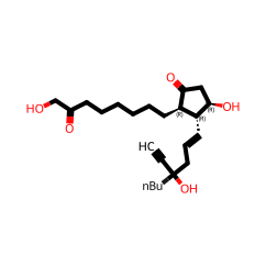 C#CC(O)(CC=C[C@H]1[C@H](O)CC(=O)[C@@H]1CCCCCCC(=O)CO)CCCC